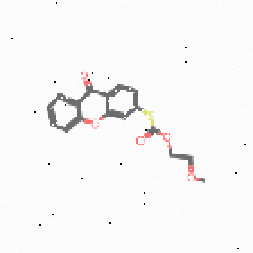 COCCOC(=O)Sc1ccc2c(=O)c3ccccc3oc2c1